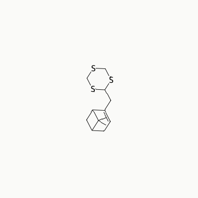 CC1(C)C2CC=C(CC3SCSCS3)C1C2